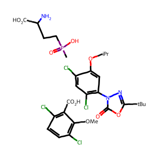 CC(C)Oc1cc(-n2nc(C(C)(C)C)oc2=O)c(Cl)cc1Cl.COc1c(Cl)ccc(Cl)c1C(=O)O.CP(=O)(O)CCC(N)C(=O)O